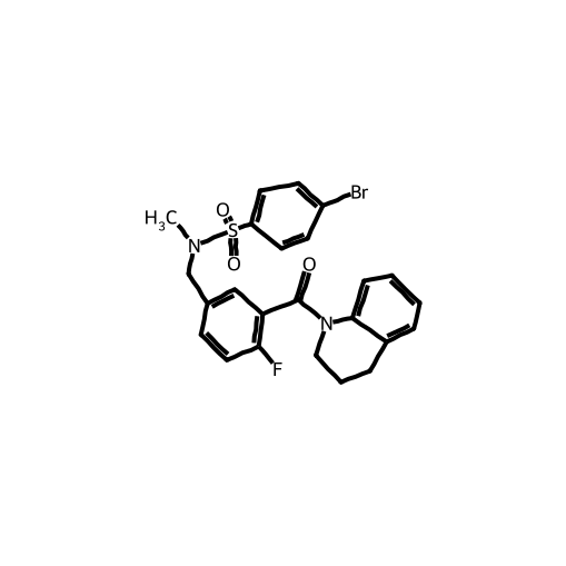 CN(Cc1ccc(F)c(C(=O)N2CCCc3ccccc32)c1)S(=O)(=O)c1ccc(Br)cc1